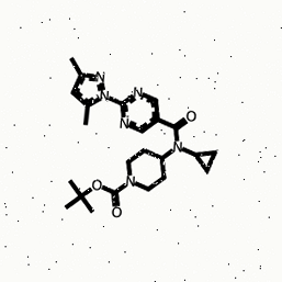 Cc1cc(C)n(-c2ncc(C(=O)N(C3CC3)C3CCN(C(=O)OC(C)(C)C)CC3)cn2)n1